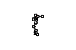 C\C=C(/C=C\C=C\N(c1cccc(-c2ccccc2)c1)c1ccccc1-c1ccccc1)c1cccc(-c2ccc3c(c2)sc2ccccc23)c1